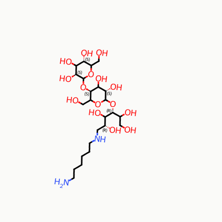 NCCCCCCNC[C@@H](O)C(O)[C@H](OC1OC(CO)[C@@H](OC2OC(CO)[C@@H](O)C(O)[C@@H]2O)C(O)[C@@H]1O)C(O)CO